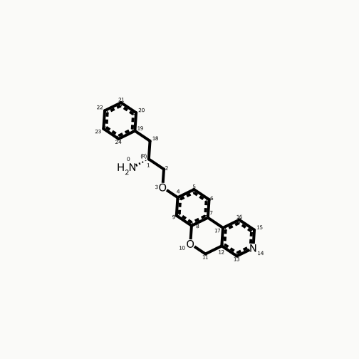 N[C@@H](COc1ccc2c(c1)OCc1cnccc1-2)Cc1ccccc1